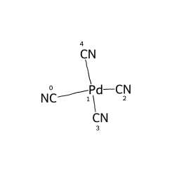 N#[C][Pd]([C]#N)([C]#N)[C]#N